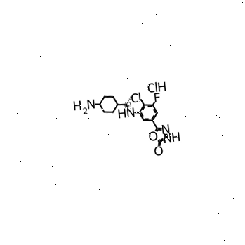 C[C@H](Nc1cc(-c2n[nH]c(=O)o2)cc(F)c1Cl)C1CCC(N)CC1.Cl